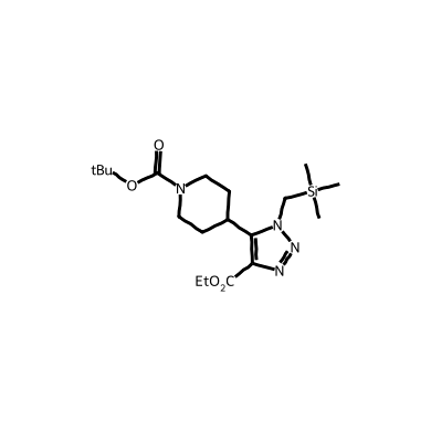 CCOC(=O)c1nnn(C[Si](C)(C)C)c1C1CCN(C(=O)OC(C)(C)C)CC1